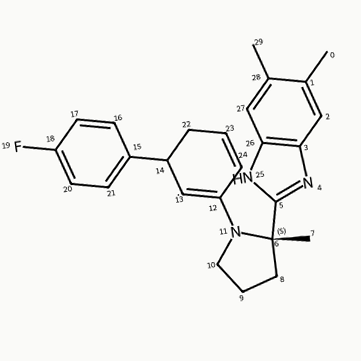 Cc1cc2nc([C@]3(C)CCCN3C3=[C]C(c4ccc(F)cc4)CC=C3)[nH]c2cc1C